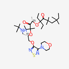 CCC(C)(C)CC(C)(C)C(=O)C(CC)(CC)O[C@@H](C)C(=O)C(C)(CC)O[C@@H](CNC(C)(C)C)COc1nsnc1N1CCOCC1